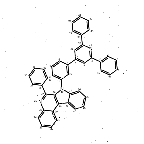 c1ccc(-c2cc(-c3cccc(-n4c5ccccc5c5c6ccccc6nc(-c6ccccc6)c54)c3)cc(-c3ccccc3)n2)cc1